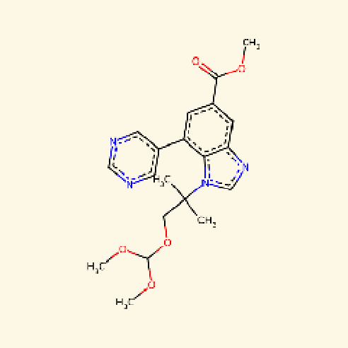 COC(=O)c1cc(-c2cncnc2)c2c(c1)ncn2C(C)(C)COC(OC)OC